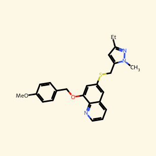 CCc1cc(CSc2cc(OCc3ccc(OC)cc3)c3ncccc3c2)n(C)n1